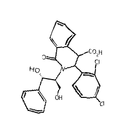 O=C(O)C1c2ccccc2C(=O)N([C@@H](CO)[C@@H](O)c2ccccc2)C1c1ccc(Cl)cc1Cl